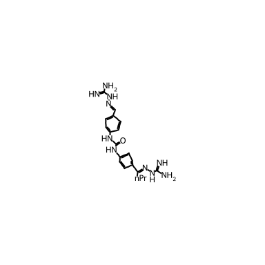 CCCC(=NNC(=N)N)c1ccc(NC(=O)Nc2ccc(/C=N/NC(=N)N)cc2)cc1